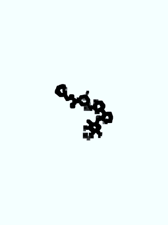 Cc1c(Oc2ncccc2-c2ccnc(N[C@H]3C[C@@H](C)CN(C(=O)OCc4ccccc4)C3)n2)cc(F)c(N)c1F